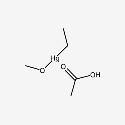 CC(=O)O.C[CH2][Hg][O]C